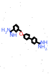 N=C(N)c1ccc(-c2ccc(OCc3cccc(C(=N)N)c3)cc2)cc1